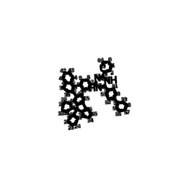 c1ccc(C2=NC(c3ccc(-c4c(-c5ccc6c(c5)C(c5ccccc5)(c5ccccc5)c5ccccc5-6)ccc5ccccc45)cc3)NC(c3ccc(-c4ccccc4)cc3)N2)cc1